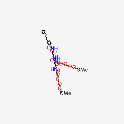 COCCOCCOCCOCCOCC(=O)NCCCC[C@H](NC(=O)COCCOCCOCCOCCOC)C(=O)NCCCC(=O)ONC(=O)Cc1ccc(CCCCc2ccccc2)cc1